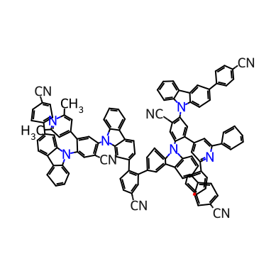 Cc1cc(-c2cc(-n3c4ccccc4c4ccc(-c5ccc(C#N)cc5-c5ccc6c(c5)c5cc(-c7ccc(C#N)cc7)ccc5n6-c5cc(C#N)c(-n6c7ccccc7c7cc(-c8ccc(C#N)cc8)ccc76)cc5-c5cc(-c6ccccc6)nc(-c6ccccc6)c5)cc43)c(C#N)cc2-n2c3ccccc3c3ccc(-c4ccc(C#N)cc4)cc32)cc(C)n1